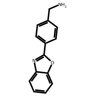 NCc1ccc(-c2nc3ccccc3o2)cc1